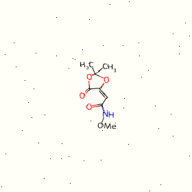 CONC(=O)C=C1OC(C)(C)OC1=O